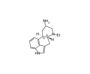 CCN1CC(N)C[C@@H]2c3cccc4[nH]cc(c34)C[C@H]21